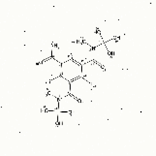 CN(C(=O)c1c(I)c(C(N)=O)c(I)c(C(=O)N(C)C(O)(O)O)c1I)C(O)(O)O